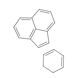 C1=CCCC=C1.C1=Cc2cccc3cccc1c23